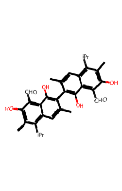 Cc1cc2c(C(C)C)c(C)c(O)c(C=O)c2c(O)c1-c1c(C)cc2c(C(C)C)c(C)c(O)c(C=O)c2c1O